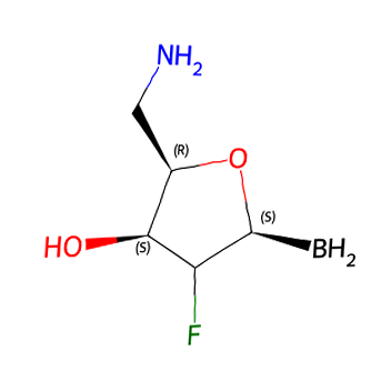 B[C@@H]1O[C@H](CN)[C@H](O)C1F